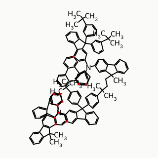 CC(C)(C)c1ccc(C2(c3ccc(C(C)(C)CCC4(C)c5ccccc5-c5ccc(N(c6ccc7c(c6)C(c6cccc(C(C)(C)C)c6)(c6cccc(C(C)(C)C)c6)c6ccccc6-7)c6ccccc6-c6ccccc6-c6ccccc6C6=CCCC=C6)cc54)cc3)c3ccccc3-c3ccc(N(c4ccccc4-c4ccccc4-c4ccccc4-c4ccccc4)C4C=CC5=C(C4)C(C)(C)c4ccccc45)cc32)cc1